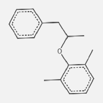 C[C](Cc1ccccc1)Oc1c(C)cccc1C